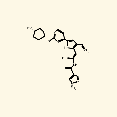 C=Cc1cc(-c2ccnc(O[C@H]3CC[C@@H](O)CC3)n2)[nH]c1/C=C(\C)NC(=O)c1cnn(C)c1